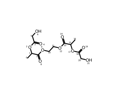 CC(OC(=O)CO)C(=O)OCCOC(=O)C(C)OC(=O)CO